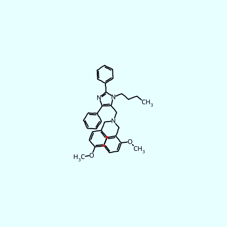 CCCCn1c(-c2ccccc2)nc(-c2ccccc2)c1CN(Cc1ccc(OC)cc1)Cc1ccccc1OC